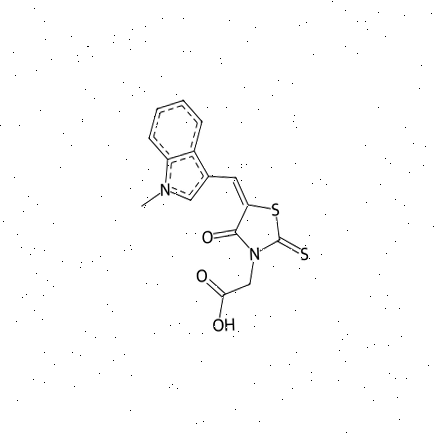 Cn1cc(C=C2SC(=S)N(CC(=O)O)C2=O)c2ccccc21